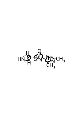 Cc1cn2nc(-c3cc(=O)n4cc([C@H]5C[C@H]6CNC[C@@H](C5)O6)sc4n3)cc(C)c2n1